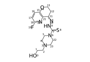 OCCN1CCN(C(=S)N/N=C2/CCOc3ccc(F)nc32)CC1